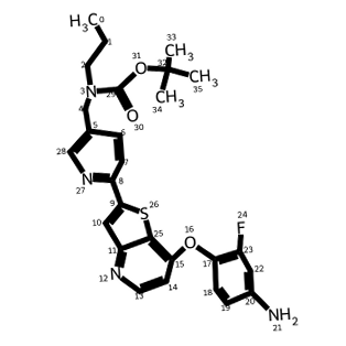 CCCN(Cc1ccc(-c2cc3nccc(Oc4ccc(N)cc4F)c3s2)nc1)C(=O)OC(C)(C)C